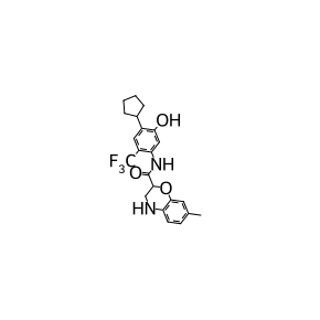 Cc1ccc2c(c1)OC(C(=O)Nc1cc(O)c(C3CCCC3)cc1C(F)(F)F)CN2